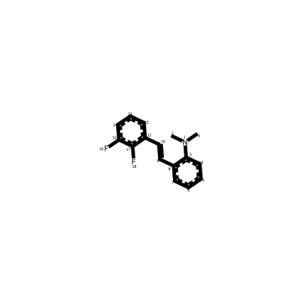 CN(C)c1ccccc1/C=C/c1cccc(F)c1F